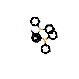 I[C]12[CH]3[CH]4[C]5(P(c6ccccc6)c6ccccc6)[C]1(P(c1ccccc1)c1ccccc1)[Fe]34251678[CH]2[CH]1[CH]6[CH]7[CH]28